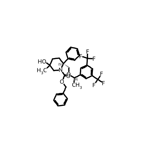 C[C@@H](OC[C@@]1(c2ccccc2)CCC(C)(O)CN1C(=O)OCc1ccccc1)c1cc(C(F)(F)F)cc(C(F)(F)F)c1